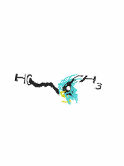 C#CC#CC#CC#CC#CC#CSC1C(F)(F)C(F)(F)C(C)C(F)(F)C1(F)F